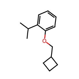 CC(C)c1ccccc1OCC1CCC1